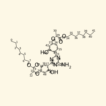 CCCCCCCCOC(=O)C(C)Oc1ccc(-c2nc(N)nc(-c3ccc(OC(C)C(=O)OCCCCCCCC)cc3O)n2)c(O)c1